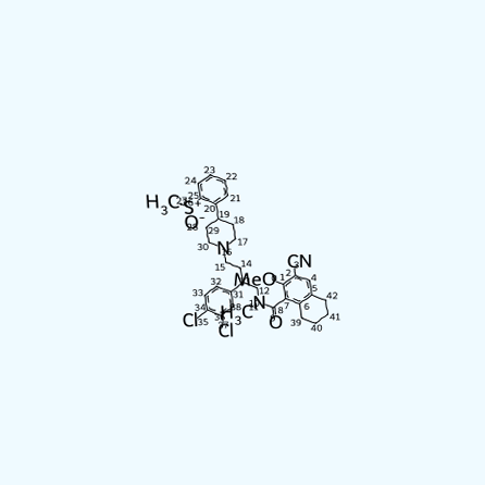 COc1c(C#N)cc2c(c1C(=O)N(C)CC(CCN1CCC(c3ccccc3[S@+](C)[O-])CC1)c1ccc(Cl)c(Cl)c1)CCCC2